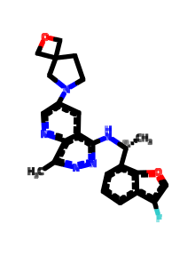 Cc1nnc(N[C@H](C)c2cccc3c(F)coc23)c2cc(N3CCC4(COC4)C3)cnc12